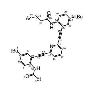 CCC(=O)Nc1ccc(C(C)(C)C)cc1C#Cc1cccc(C#Cc2cc(C(C)(C)C)ccc2NC(=O)CSC(C)=O)n1